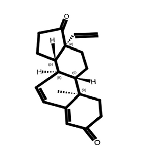 C=C[C@]12CC[C@H]3[C@@H](C=CC4=CC(=O)CC[C@@]43C)[C@@H]1CCC2=O